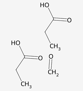 C=O.CCC(=O)O.CCC(=O)O